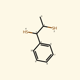 CC(S)C(S)c1ccccc1